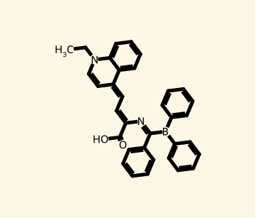 CCN1C=CC(=CC=C(N=C(B(c2ccccc2)c2ccccc2)c2ccccc2)C(=O)O)c2ccccc21